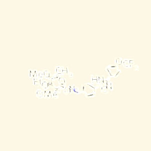 CCO[C@@H]1[C@@H](OC)[C@H](C)O[C@@H](O/N=C/c2ccc(C3NC(c4ccc(OC(F)(F)F)cc4)=NO3)cc2)[C@@H]1OC